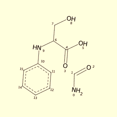 NC=O.O=C(O)C(CO)Nc1ccccc1